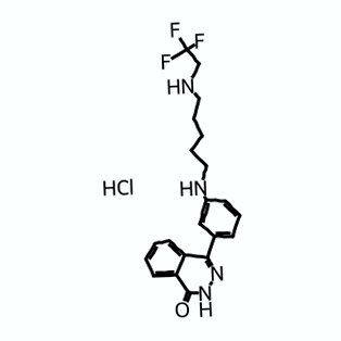 Cl.O=c1[nH]nc(-c2cccc(NCCCCCNCC(F)(F)F)c2)c2ccccc12